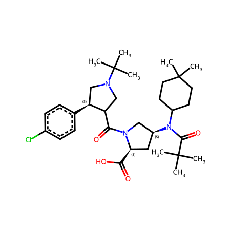 CC1(C)CCC(N(C(=O)C(C)(C)C)[C@H]2C[C@@H](C(=O)O)N(C(=O)C3CN(C(C)(C)C)C[C@@H]3c3ccc(Cl)cc3)C2)CC1